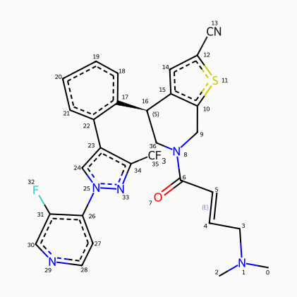 CN(C)C/C=C/C(=O)N1Cc2sc(C#N)cc2[C@H](c2ccccc2-c2cn(-c3ccncc3F)nc2C(F)(F)F)C1